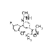 Cc1nc2c(-c3cc(F)ccc3C(F)(F)F)cc(-c3c(C)noc3C)cc2[nH]1